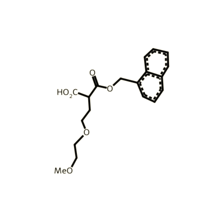 COCCOCCC(C(=O)O)C(=O)OCc1cccc2ccccc12